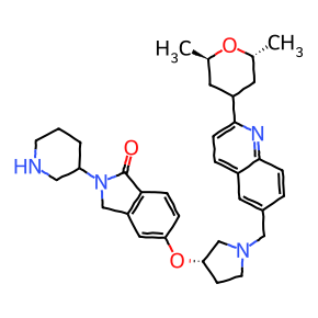 C[C@@H]1CC(c2ccc3cc(CN4CC[C@H](Oc5ccc6c(c5)CN(C5CCCNC5)C6=O)C4)ccc3n2)C[C@@H](C)O1